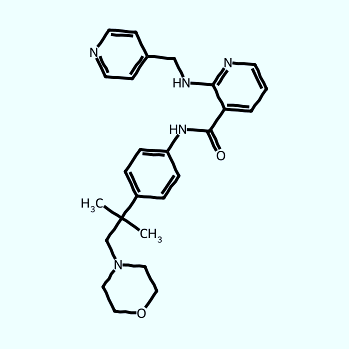 CC(C)(CN1CCOCC1)c1ccc(NC(=O)c2cccnc2NCc2ccncc2)cc1